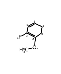 COC1=C(F)C=CCC1